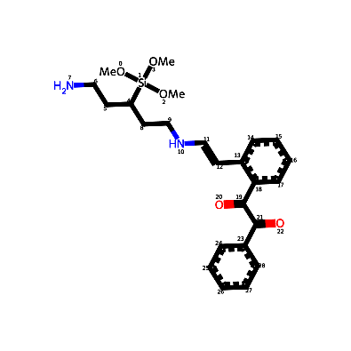 CO[Si](OC)(OC)C(CCN)CCNC=Cc1ccccc1C(=O)C(=O)c1ccccc1